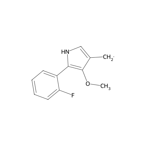 [CH2]c1c[nH]c(-c2ccccc2F)c1OC